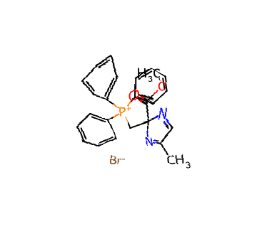 COC(=O)C1(C[P+](c2ccccc2)(c2ccccc2)c2ccccc2)N=CC(C)=N1.[Br-]